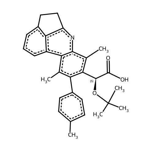 Cc1ccc(-c2c([C@H](OC(C)(C)C)C(=O)O)c(C)c3nc4c5c(cccc5c3c2C)CC4)cc1